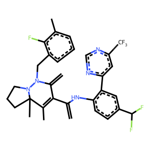 C=C(Nc1ccc(C(F)F)cc1-c1cc(C(F)(F)F)ncn1)C1=C(C)C2(C)CCCN2N(Cc2cccc(C)c2F)C1=C